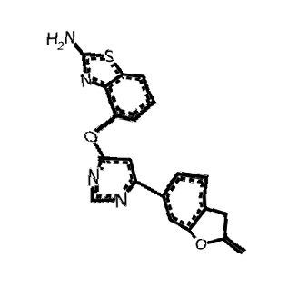 C=C1Cc2ccc(-c3cc(Oc4cccc5sc(N)nc45)ncn3)cc2O1